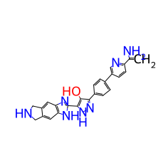 C=C(N)c1ccc(-c2ccc(-c3n[nH]c(-c4nc5cc6c(cc5[nH]4)CNC6)c3O)cc2)cn1